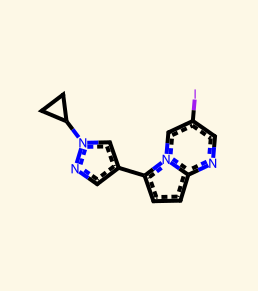 Ic1cnc2ccc(-c3cnn(C4CC4)c3)n2c1